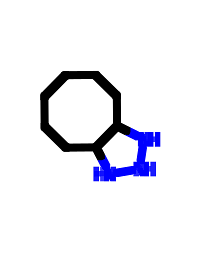 C1CCCC2NNNC2CC1